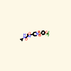 O=C(NC1CC1)c1coc(C2=CCN(S(=O)(=O)c3ccc(OC(F)(F)F)cc3)CC2)n1